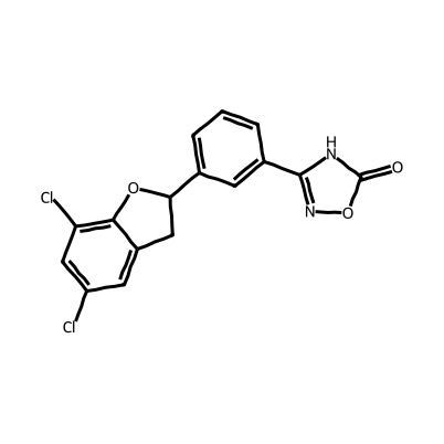 O=c1[nH]c(-c2cccc(C3Cc4cc(Cl)cc(Cl)c4O3)c2)no1